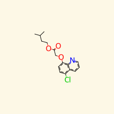 CC(C)CCOC(=O)COc1ccc(Cl)c2cccnc12